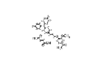 COc1cc(C(C)=O)ccc1OCCCN1CCC(C(c2ccc(F)cc2)c2ccc(F)cc2)CC1.O=C(O)C=CC(=O)O